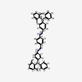 CCc1cccc(C)c1N(c1ccccc1)c1ccc(/C=C/c2ccc(/C=C/c3ccc(N(c4ccccc4)c4c(C)cccc4C)cc3)cc2)cc1